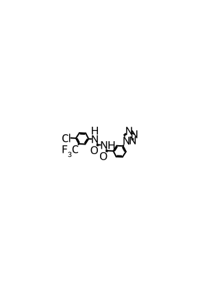 O=C(NC(=O)c1cccc(-n2cnnn2)c1)Nc1ccc(Cl)c(C(F)(F)F)c1